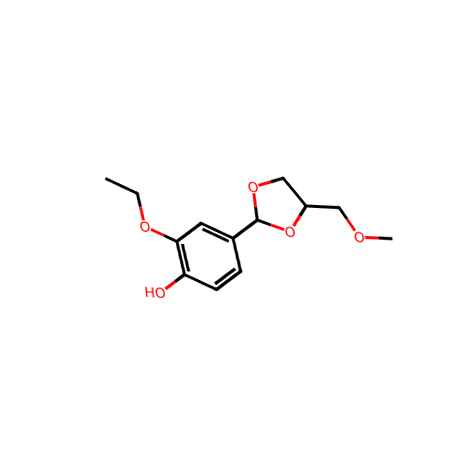 CCOc1cc(C2OCC(COC)O2)ccc1O